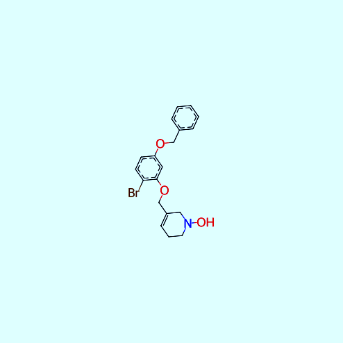 ON1CCC=C(COc2cc(OCc3ccccc3)ccc2Br)C1